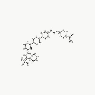 CC(=O)N1CCN(CCOc2ccc(C3CCN(c4cccc(N5N=C(C(F)(F)F)N6N=CCCC65)n4)CC3)cc2)CC1